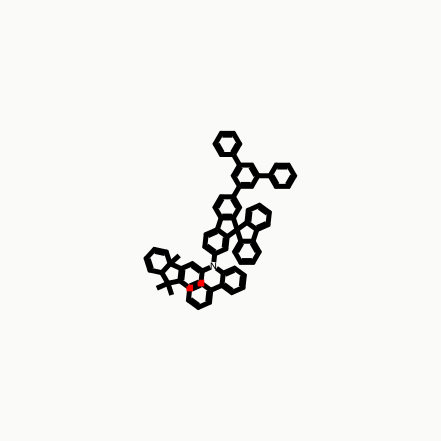 CC1(C)c2ccc(N(c3ccc4c(c3)C3(c5ccccc5-c5ccccc53)c3cc(-c5cc(-c6ccccc6)cc(-c6ccccc6)c5)ccc3-4)c3ccccc3-c3ccccc3)cc2C2(C)C=CC=CC12